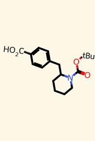 CC(C)(C)OC(=O)N1CCCCC1Cc1ccc(C(=O)O)cc1